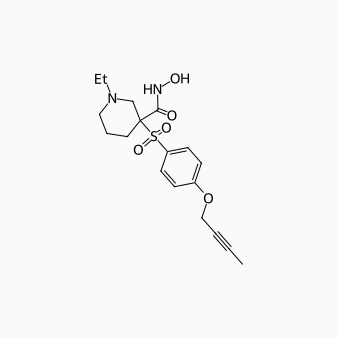 CC#CCOc1ccc(S(=O)(=O)C2(C(=O)NO)CCCN(CC)C2)cc1